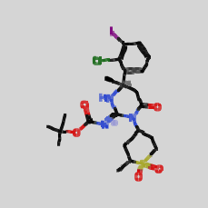 CC1CC(N2C(=O)C[C@@](C)(c3cccc(I)c3Cl)N/C2=N\C(=O)OC(C)(C)C)CCS1(=O)=O